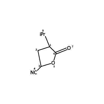 CC(C)C1CC(C#N)OC1=O